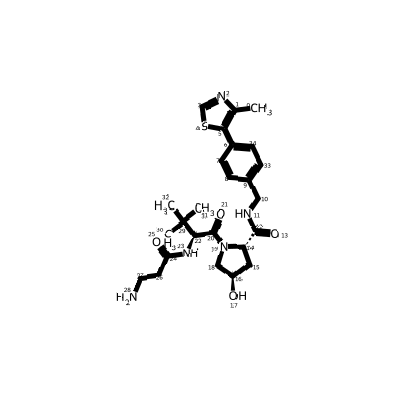 Cc1ncsc1-c1ccc(CNC(=O)[C@@H]2C[C@@H](O)CN2C(=O)[C@@H](NC(=O)CCN)C(C)(C)C)cc1